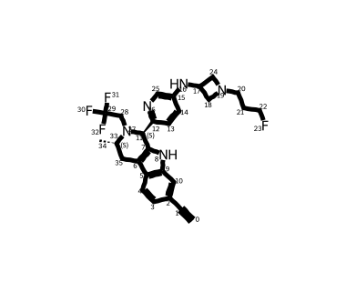 C#Cc1ccc2c3c([nH]c2c1)[C@H](c1ccc(NC2CN(CCCF)C2)cn1)N(CC(F)(F)F)[C@@H](C)C3